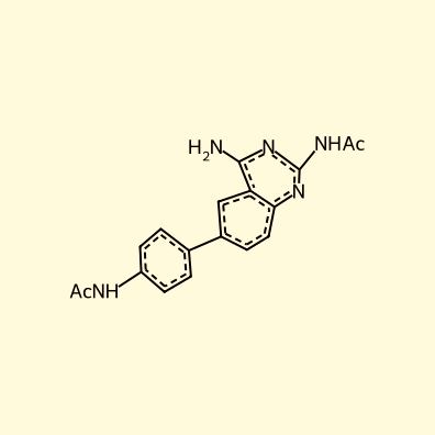 CC(=O)Nc1ccc(-c2ccc3nc(NC(C)=O)nc(N)c3c2)cc1